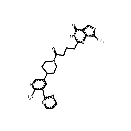 Cc1scc2c(=O)[nH]c(CCCC(=O)N3CCC(c4cnc(N)c(-c5ncccn5)c4)CC3)nc12